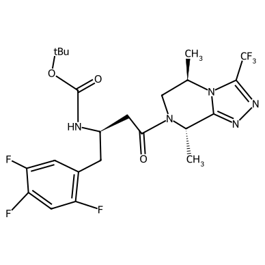 C[C@@H]1CN(C(=O)C[C@@H](Cc2cc(F)c(F)cc2F)NC(=O)OC(C)(C)C)[C@@H](C)c2nnc(C(F)(F)F)n21